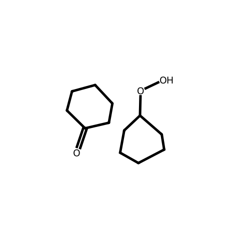 O=C1CCCCC1.OOC1CCCCC1